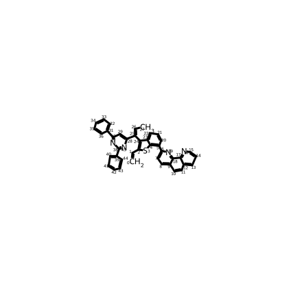 C=Cc1sc2c(-c3ccc4ccc5cccnc5c4n3)cccc2c1/C(=C\C)c1cc(-c2ccccc2)nc(-c2ccccc2)n1